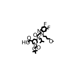 COCCCCn1c(C(=O)N(CC(C)C)[C@H]2CC(C(=O)O)CN(C(=O)OC(C)(C)C)C2)nc2cc(F)c(F)cc21